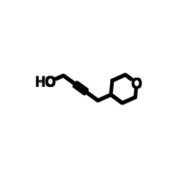 OCC#CCC1CCOCC1